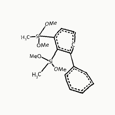 CO[Si](C)(OC)c1cccc(-c2ccccc2)c1[Si](C)(OC)OC